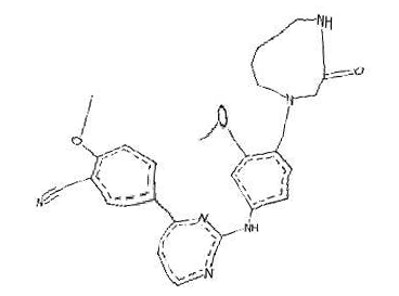 COc1ccc(-c2ccnc(Nc3ccc(N4CCCNC(=O)C4)c(OC)c3)n2)cc1C#N